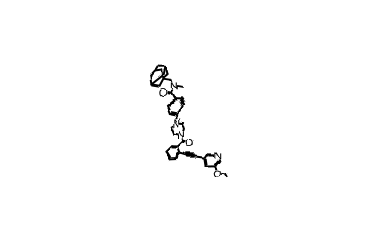 CCOc1cncc(C#Cc2ccccc2C(=O)N2CCN(c3ccc(C(=O)N(C)CC45CC6CC(CC(C6)C4)C5)cc3)CC2)c1